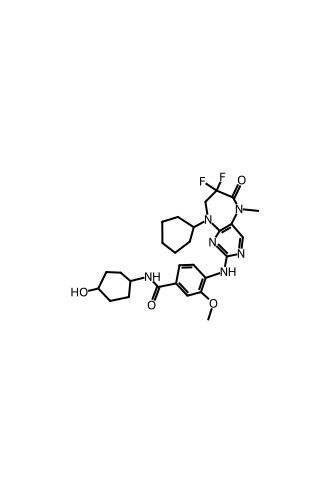 COc1cc(C(=O)NC2CCC(O)CC2)ccc1Nc1ncc2c(n1)N(C1CCCCC1)CC(F)(F)C(=O)N2C